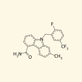 Cc1c[c]c2c3c(C(N)=O)cccc3n(Cc3cc(C(F)(F)F)ccc3F)c2c1